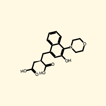 O=C(O)C[C@@H](Cc1cc(O)c(N2CCOCC2)c2ccccc12)C(=O)O